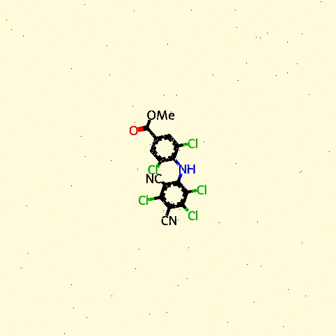 COC(=O)c1cc(Cl)c(Nc2c(Cl)c(Cl)c(C#N)c(Cl)c2C#N)c(Cl)c1